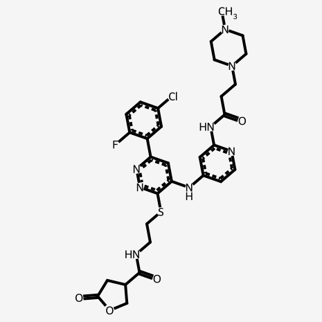 CN1CCN(CCC(=O)Nc2cc(Nc3cc(-c4cc(Cl)ccc4F)nnc3SCCNC(=O)C3COC(=O)C3)ccn2)CC1